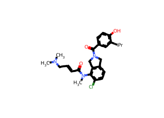 CC(C)c1cc(C(=O)N2Cc3ccc(Cl)c(N(C)C(=O)/C=C/CN(C)C)c3C2)ccc1O